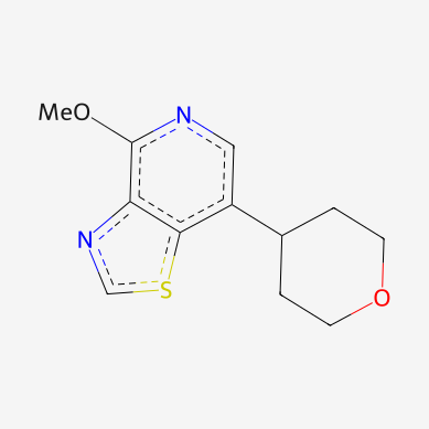 COc1ncc(C2CCOCC2)c2scnc12